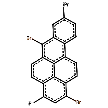 CC(C)c1ccc2c(c1)c(Br)c1ccc3c(C(C)C)cc(Br)c4ccc2c1c43